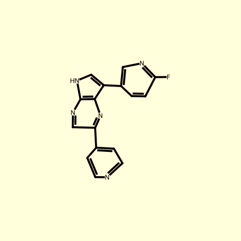 Fc1ccc(-c2c[nH]c3ncc(-c4ccncc4)nc23)cn1